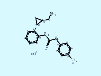 Cl.NC[C@@H]1C[C@H]1c1ccccc1NC(=O)Nc1ccc(C(F)(F)F)cc1